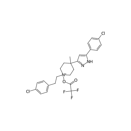 CC1(c2cc(-c3ccc(Cl)cc3)[nH]n2)CC[N+](CCc2ccc(Cl)cc2)(OC(=O)C(F)(F)F)CC1